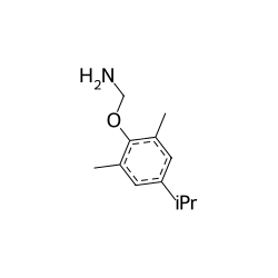 Cc1cc(C(C)C)cc(C)c1OCN